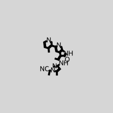 C/C(Nc1cc(C)n([C@@H](C)C#N)n1)=C1/C(=O)Nc2cnc(-c3cnccc3C)cc21